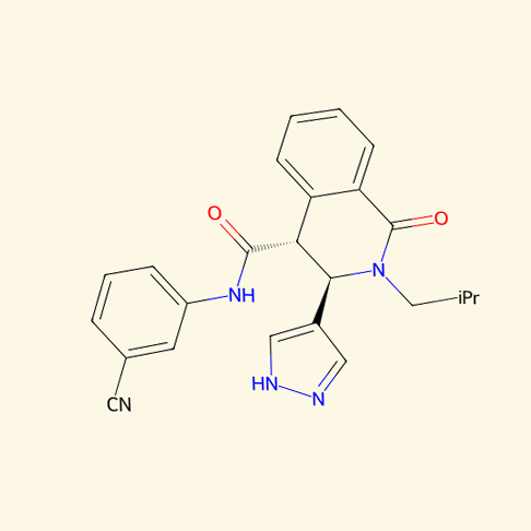 CC(C)CN1C(=O)c2ccccc2[C@@H](C(=O)Nc2cccc(C#N)c2)[C@@H]1c1cn[nH]c1